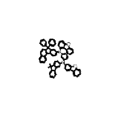 CC1(C)c2ccccc2-c2cc(N(c3cccc(N(c4ccc5c(c4)C(c4ccccc4)(c4ccccc4)c4ccc6ccccc6c4-5)c4cccc5oc6ccccc6c45)c3)c3ccc4c(c3)oc3ccccc34)ccc21